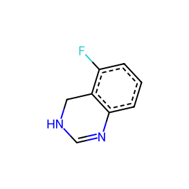 Fc1cccc2c1CNC=N2